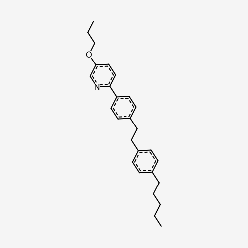 CCCCCc1ccc(CCc2ccc(-c3ccc(OCCC)cn3)cc2)cc1